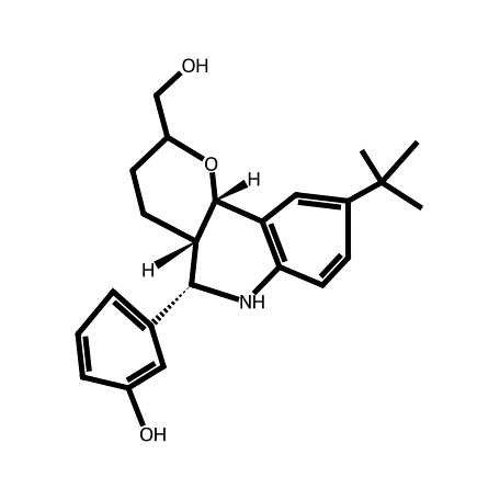 CC(C)(C)c1ccc2c(c1)[C@H]1OC(CO)CC[C@H]1[C@@H](c1cccc(O)c1)N2